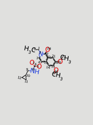 CCn1cc(OC(=O)NCC2CC2)c2cc(OC)c(OC)cc2c1=O